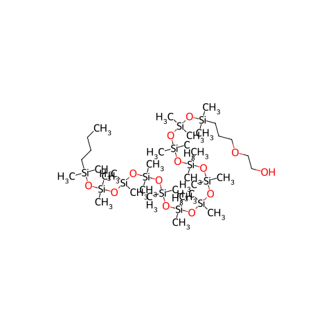 CCCC[Si](C)(C)O[Si](C)(C)O[Si](C)(C)O[Si](C)(C)O[Si](C)(C)O[Si](C)(C)O[Si](C)(C)O[Si](C)(C)O[Si](C)(C)O[Si](C)(C)O[Si](C)(C)O[Si](C)(C)CCCOCCO